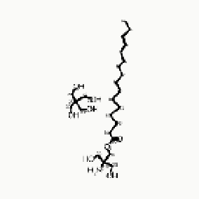 CCCCCCCCCCCCCCCC(=O)OCC(N)(CO)CO.OCC(CO)(CO)CO